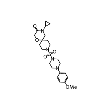 COc1ccc(N2CCN(S(=O)(=O)N3CCC4(CC3)CN(C3CC3)C(=O)CO4)CC2)cc1